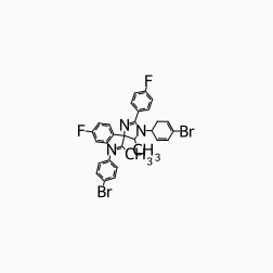 C/C(=N\c1ccc(Br)cc1)C1(c2ccc(F)cc2)N=C(c2ccc(F)cc2)N(C2C=CC(Br)=CC2)C1C